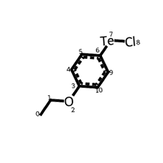 CCOc1ccc([Te]Cl)cc1